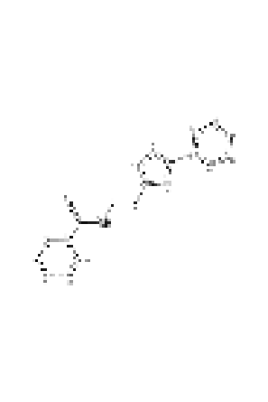 O=C(NCCc1csc(-c2ccccc2)n1)c1ccccn1